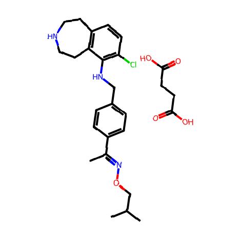 CC(=NOCC(C)C)c1ccc(CNc2c(Cl)ccc3c2CCNCC3)cc1.O=C(O)CCC(=O)O